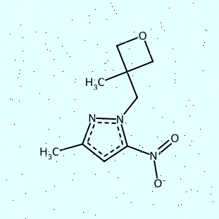 Cc1cc([N+](=O)[O-])n(CC2(C)COC2)n1